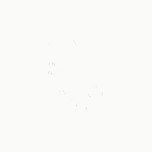 CC[C@H](CCN(CC)CC)OC(=O)NCc1cccc(NC(=O)Nc2ccc(-c3cnco3)c(OC)c2)c1